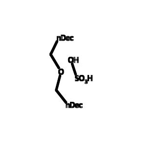 CCCCCCCCCCCOCCCCCCCCCCC.O=S(=O)(O)O